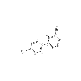 Cc1ccc(-c2cncc(Br)n2)cc1